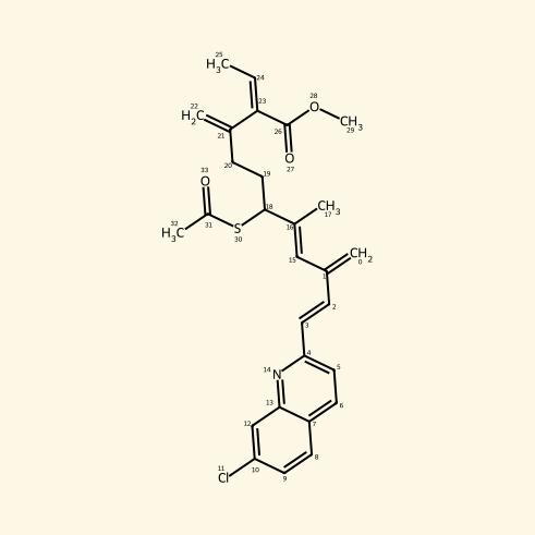 C=C(/C=C/c1ccc2ccc(Cl)cc2n1)/C=C(\C)C(CCC(=C)/C(=C\C)C(=O)OC)SC(C)=O